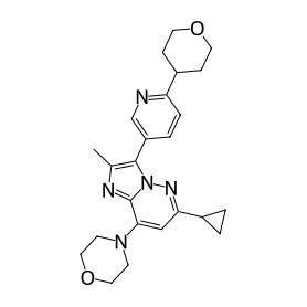 Cc1nc2c(N3CCOCC3)cc(C3CC3)nn2c1-c1ccc(C2CCOCC2)nc1